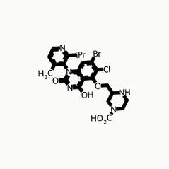 Cc1ccnc(C(C)C)c1-n1c(=O)nc(O)c2c(OCC3CN(C(=O)O)CCN3)c(Cl)c(Br)cc21